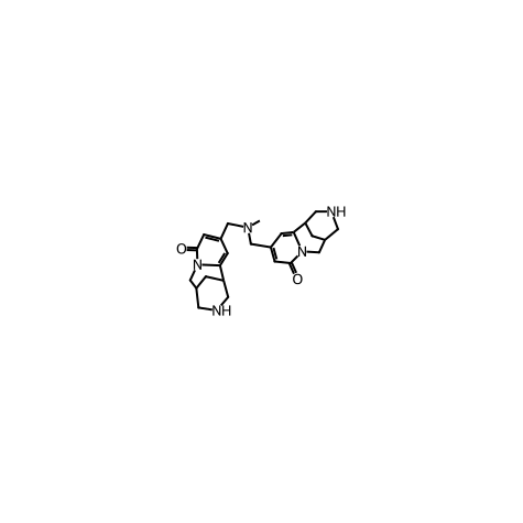 CN(Cc1cc2n(c(=O)c1)CC1CNCC2C1)Cc1cc2n(c(=O)c1)CC1CNCC2C1